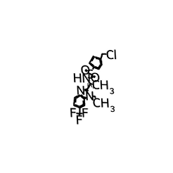 CCn1c([C@@H](C)NS(=O)(=O)c2ccc(CCl)cc2)nc2ccc(C(F)(F)F)cc21